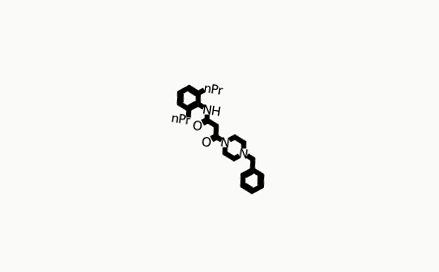 CCCc1cccc(CCC)c1NC(=O)CC(=O)N1CCN(Cc2ccccc2)CC1